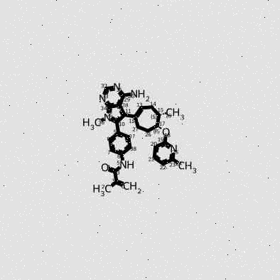 C=C(C)C(=O)Nc1ccc(-c2c(C3=CC[C@H](C)[C@H](Oc4cccc(C)n4)CC3)c3c(N)ncnc3n2C)cc1